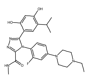 CCN1CCN(c2ccc(-n3c(C(=O)NC)nnc3-c3cc(C(C)C)c(O)cc3O)c(F)c2)CC1